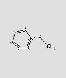 C[CH][n+]1ccccc1